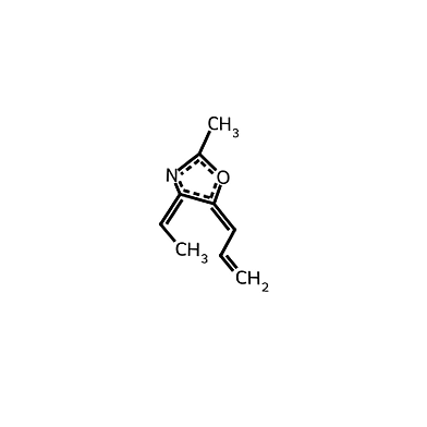 C=C/C=c1/oc(C)n/c1=C/C